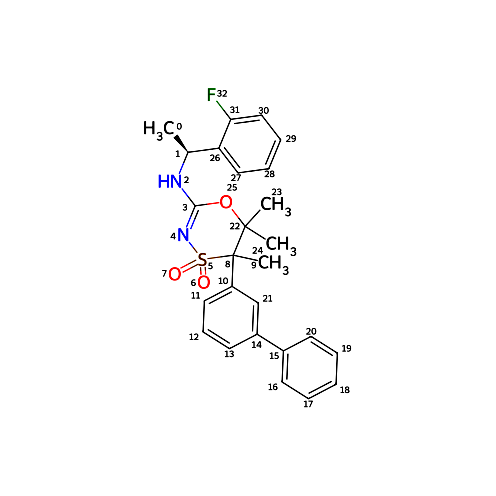 C[C@H](NC1=NS(=O)(=O)C(C)(c2cccc(-c3ccccc3)c2)C(C)(C)O1)c1ccccc1F